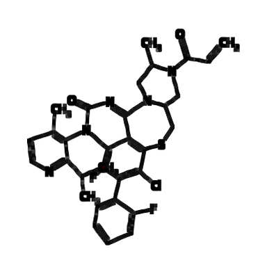 C=CC(=O)N1CC2CSc3c(Cl)c(-c4ccccc4F)c(F)c4c3c(nc(=O)n4-c3c(C)ccnc3C(C)C)N2CC1C